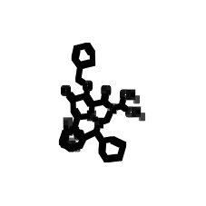 CNC(=O)c1cc(=O)c(OCc2ccccc2)c2n1N(C(c1ccccc1)c1ccccc1)CN(C(C)C)C2=O